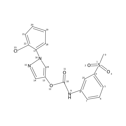 CS(=O)(=O)c1cccc(NC(=O)Oc2cnn(-c3ccccc3Cl)c2)c1